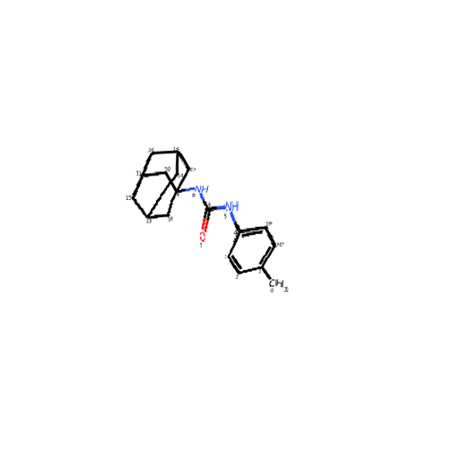 Cc1ccc(NC(=O)NC23CC4CC(CC(C4)C2)C3)cc1